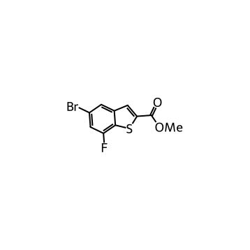 COC(=O)c1cc2cc(Br)cc(F)c2s1